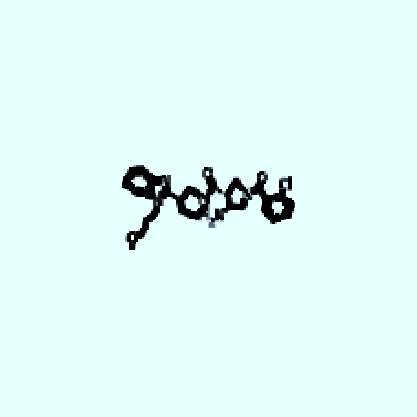 COCCCn1c([C@@H]2CCCN(C(=O)[C@@H]3CN(C(=O)c4ccccc4Cl)C[C@H]3N)C2)nc2ccccc21